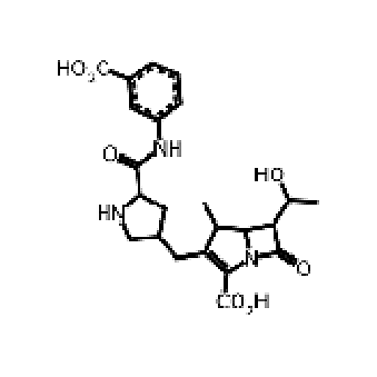 CC(O)C1C(=O)N2C(C(=O)O)=C(CC3CNC(C(=O)Nc4cccc(C(=O)O)c4)C3)C(C)C12